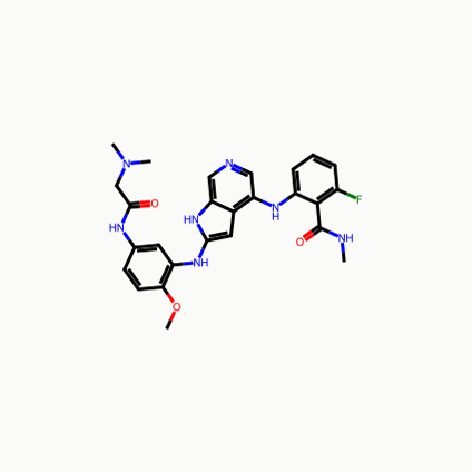 CNC(=O)c1c(F)cccc1Nc1cncc2[nH]c(Nc3cc(NC(=O)CN(C)C)ccc3OC)cc12